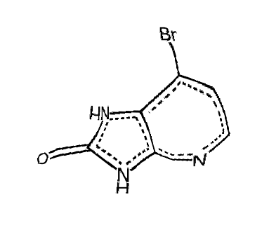 O=c1[nH]c2nccc(Br)c2[nH]1